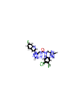 Cc1nc(CNC(=O)NCc2ncnn2-c2cnc3cc(F)ccc3c2)n(-c2ccc(Cl)c(F)c2)n1